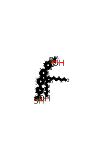 CCCCCCCCC1(C(C)CCCCCC)c2cc(-c3ccc(SC(C)O)cc3)ccc2-c2ccc(-c3ccc(C(O)CS)cc3)cc21